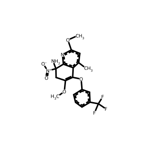 COC1=C(Oc2cccc(C(F)(F)F)c2)c2c(C)cc(OC)nc2C(N)([N+](=O)[O-])C1